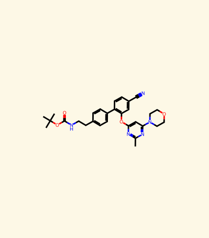 Cc1nc(Oc2cc(C#N)ccc2-c2ccc(CCNC(=O)OC(C)(C)C)cc2)cc(N2CCOCC2)n1